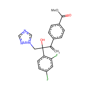 C=C(c1ccc(C(=O)OC)cc1)C(O)(Cn1cncn1)c1ccc(F)cc1F